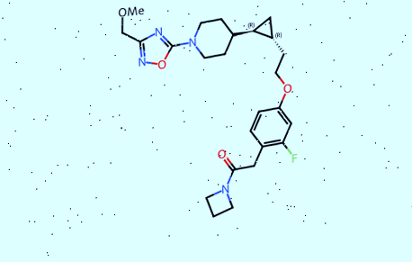 COCc1noc(N2CCC([C@H]3C[C@@H]3CCOc3ccc(CC(=O)N4CCC4)c(F)c3)CC2)n1